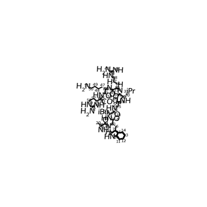 CC[C@H](C)[C@H](NC(=O)[C@H](Cc1c[nH]c2ccccc12)NC(=O)[C@H](C)N)C(=O)NCC(=O)N[C@@H](CC(C)C)C(=O)N[C@@H](CCCNC(=N)N)C(=O)N[C@@H](CCCCN)C(=O)N[C@@H](CCCNC(=N)N)C(=O)O